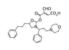 O=C/C(=C\C(=O)O)C(=O)OC1OC(CCCc2ccccc2)CN1C(CCN1CCOCC1)c1ccccc1